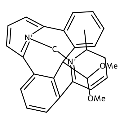 COC(OC)C1c2ccccc2-c2cccc3[n+]2C[N+]2=C(C=CCC2C)c2cccc-3c21